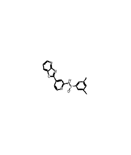 Cc1cc(C)cc([S+]([O-])Nc2cc(-c3nc4ncccc4o3)ccn2)c1